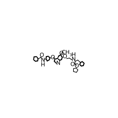 COc1cc2c(Oc3ccc(NC(=O)c4ccccc4)cc3)ccnc2cc1OCCCNC(Cc1ccccc1)C(=O)OC1CCCC1